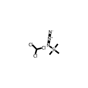 C[Si](C)(C)N=[N+]=[N-].ClC(Cl)Cl